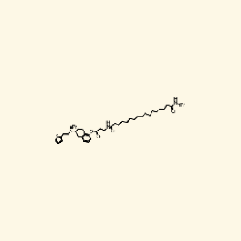 CCCNC(=O)CCCCCCCCCCCCCCCC(=O)NCCC(=O)Oc1cccc2c1CCC(N(CCC)CCc1cccs1)C2